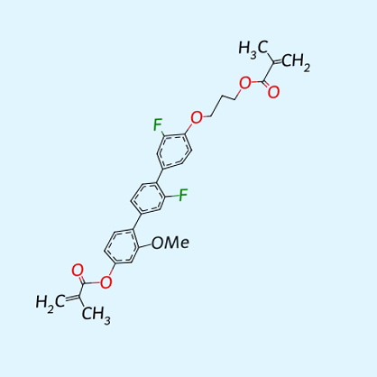 C=C(C)C(=O)OCCCOc1ccc(-c2ccc(-c3ccc(OC(=O)C(=C)C)cc3OC)cc2F)cc1F